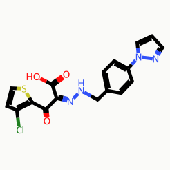 O=C(O)/C(=N\NCc1ccc(-n2cccn2)cc1)C(=O)c1sccc1Cl